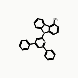 Bc1cccc2c1c1ccccc1n2-c1cc(-c2ccccc2)cc(-c2ccccc2)n1